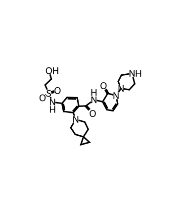 O=C(Nc1cccn(N2CCNCC2)c1=O)c1ccc(NS(=O)(=O)CCO)cc1N1CCC2(CC1)CC2